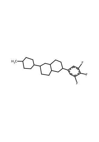 CC1CCC(C2CCC3CC(c4cc(F)c(F)c(F)c4)CCC3C2)CC1